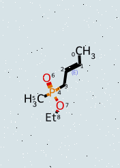 C/C=C/CP(C)(=O)OCC